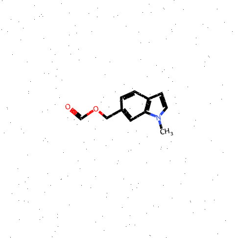 Cn1ccc2ccc(COC=O)cc21